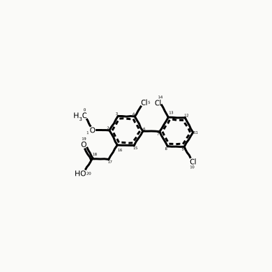 COc1cc(Cl)c(-c2cc(Cl)ccc2Cl)cc1CC(=O)O